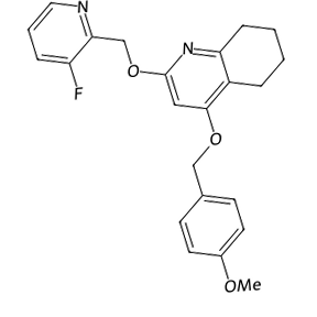 COc1ccc(COc2cc(OCc3ncccc3F)nc3c2CCCC3)cc1